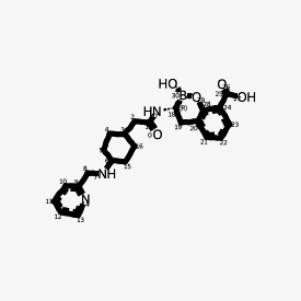 O=C(CC1CCC(NCc2ccccn2)CC1)N[C@H]1Cc2cccc(C(=O)O)c2OB1O